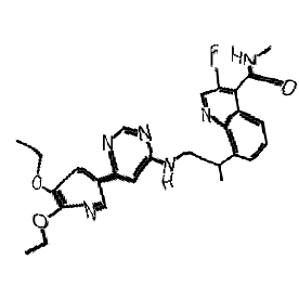 CCOc1cc(-c2cc(NCC(C)c3cccc4c(C(=O)NC)c(F)cnc34)ncn2)cnc1OCC